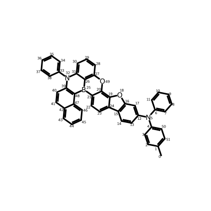 Cc1ccc(N(c2ccccc2)c2ccc3c(c2)oc2c4c(ccc23)B2c3c(cccc3N(c3ccccc3)c3ccc5ccccc5c32)O4)cc1